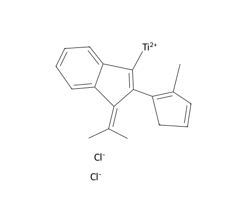 CC(C)=C1C(C2=C(C)C=CC2)=[C]([Ti+2])c2ccccc21.[Cl-].[Cl-]